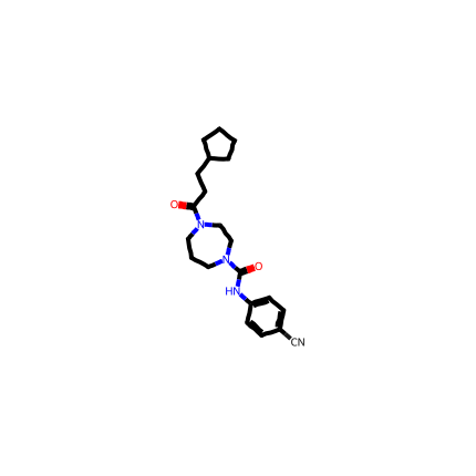 N#Cc1ccc(NC(=O)N2CCCN(C(=O)CCC3CCCC3)CC2)cc1